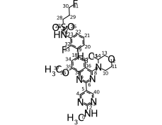 CNc1ncc(-c2nc(N3CCOCC3C)c3cc(-c4cccc(NS(=O)(=O)CCCF)c4F)cc(OC)c3n2)cn1